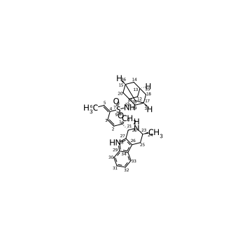 C=C(/C=C\C(=C/C)S(=O)(=O)N[C@]12C[C@H]3C[C@H](C[C@H](C3)C1)C2)[C@@H]1N[C@@H](C)Cc2c1[nH]c1ccccc21